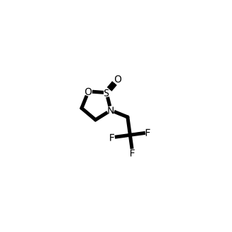 O=S1OCCN1CC(F)(F)F